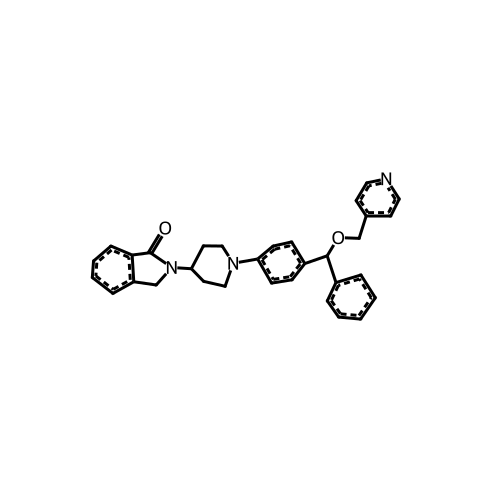 O=C1c2ccccc2CN1C1CCN(c2ccc(C(OCc3ccncc3)c3ccccc3)cc2)CC1